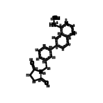 CC(C)(C)Nc1ncnc2ccc(-c3cccc(CN4C(=O)CCC4=O)c3)cc12